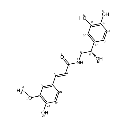 COc1cc(/C=C/C(=O)NC[C@H](O)c2ccc(O)c(O)c2)ccc1O